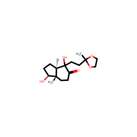 CC1(CCC2(O)C(=O)CC[C@]3(C)[C@@H](O)CC[C@@H]23)OCCO1